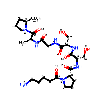 C[C@H](NC(=O)CNC(=O)[C@H](CO)NC(=O)[C@H](CO)NC(=O)[C@@H]1CCCN1C(=O)CCCCN)C(=O)N1CCC[C@H]1C(=O)O